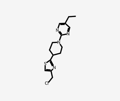 CCc1cnc(N2CCC(c3nc(CCl)cs3)CC2)nc1